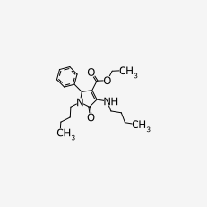 CCCCNC1=C(C(=O)OCC)C(c2ccccc2)N(CCCC)C1=O